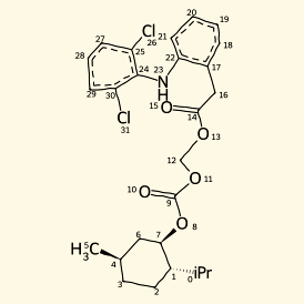 CC(C)[C@@H]1CC[C@@H](C)C[C@H]1OC(=O)OCOC(=O)Cc1ccccc1Nc1c(Cl)cccc1Cl